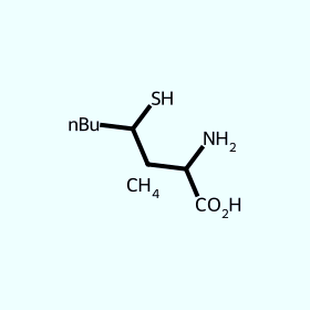 C.CCCCC(S)CC(N)C(=O)O